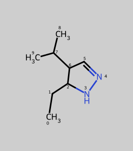 CCC1NN=CC1C(C)C